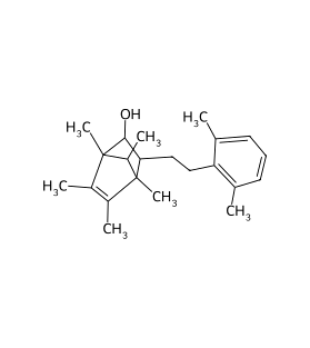 CC1=C(C)C2(C)C(CCc3c(C)cccc3C)C(O)C1(C)C2C